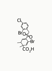 CC1C=C(S(=O)(=O)Cc2ccc(Cl)cc2Br)C(Br)=CC1(C)C(=O)O